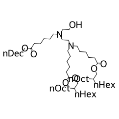 CCCCCCCCCCOC(=O)CCCCCN(CCO)CCN(CCCCCC(=O)OCC(CCCCCC)CCCCCCCC)CCCCCC(=O)OCC(CCCCCC)CCCCCCCC